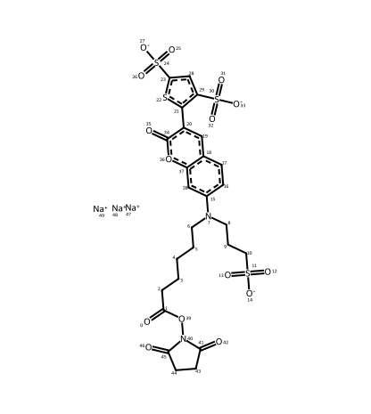 O=C(CCCCCN(CCCS(=O)(=O)[O-])c1ccc2cc(-c3sc(S(=O)(=O)[O-])cc3S(=O)(=O)[O-])c(=O)oc2c1)ON1C(=O)CCC1=O.[Na+].[Na+].[Na+]